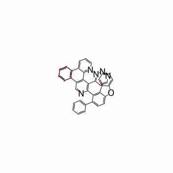 c1ccc(-c2cccnc2-c2c(-c3ccccc3)cnc(-c3c(-c4ccccc4)ccc4oc5ccccc5c34)c2-c2ccnnn2)cc1